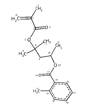 C=C(C)C(=O)OC(C)(C)CC(C)OC(=O)c1ccccc1C